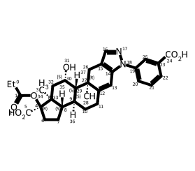 CCC(=O)O[C@]1(C(=O)O)CC[C@H]2[C@@H]3CCC4=Cc5c(cnn5-c5cccc(C(=O)O)c5)C[C@]4(C)[C@H]3[C@@H](O)C[C@@]21C